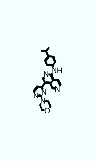 CC(C)c1ccc(Nc2ncc(-c3ccnc(N4CCOCC4)n3)c3cnccc23)cc1